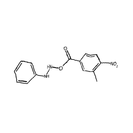 Cc1cc(C(=O)ONNc2ccccc2)ccc1[N+](=O)[O-]